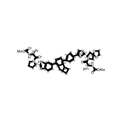 COC(=O)N[C@H](C(=O)N1CCC[C@H]1c1nc2ccc(-c3ccc(-c4ccc(-c5cnc([C@@H]6CC7(CN6C(=O)[C@H](NC(=O)OC)C(C)C)OCCO7)[nH]5)cc4)c4c3CC3CCC43)cc2[nH]1)C(C)C